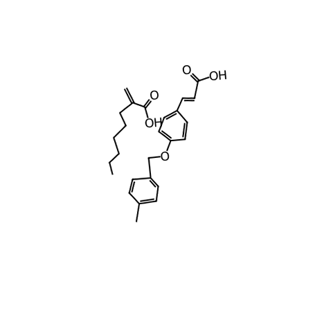 C=C(CCCCCC)C(=O)O.Cc1ccc(COc2ccc(C=CC(=O)O)cc2)cc1